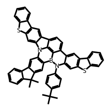 CC(C)(C)c1ccc(N2B3c4cc5c(cc4-n4c6cc7sc8ccccc8c7cc6c6ccc(c3c64)-c3cc4c(cc32)sc2ccccc24)-c2ccccc2C5(C)C)cc1